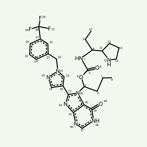 CCCC(OC(=O)NC(CC)C1CCCN1)n1c(-c2cnn(Cc3cccc(C(F)(F)F)c3)c2)nc2nc[nH]c(=O)c21